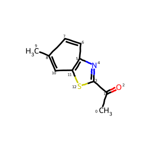 CC(=O)c1nc2ccc(C)cc2s1